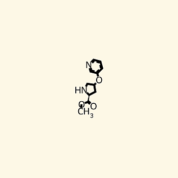 COC(=O)[C@@H]1CC(Oc2cccnc2)CN1